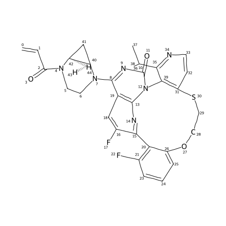 C=CC(=O)N1CCN(c2nc(=O)n3c4nc(c(F)cc24)-c2c(F)cccc2OCCSc2ccnc(C(C)C)c2-3)[C@@H]2C[C@@H]21